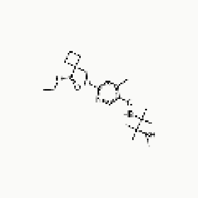 CBC(C)(C)C(C)(C)BOc1cnc(OCC2(C(=O)OCC)CCC2)cc1C